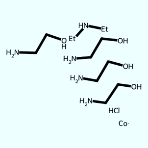 CCNCC.Cl.NCCO.NCCO.NCCO.NCCO.[Co]